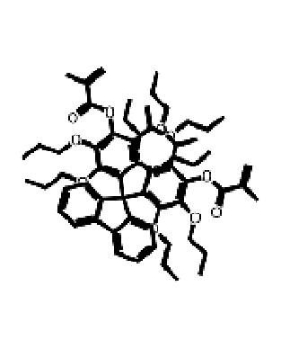 C=C(C)C(=O)Oc1c(OCCC)c(OCCC)c(C2(c3c(OCCC)c(OCCC)c(OC(=O)C(=C)C)c(C(C)OCCC)c3OCCC)c3ccccc3-c3ccccc32)c(OCCC)c1C(C)OCCC